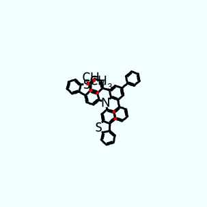 C[Si]1(C)c2ccccc2-c2ccc(N(c3ccc4c(c3)sc3ccccc34)c3c(-c4ccccc4)cc(-c4ccccc4)cc3-c3ccccc3)cc21